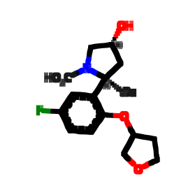 CC(C)(C)[C@@]1(c2cc(F)ccc2OC2CCOC2)C[C@@H](O)CN1C(=O)O